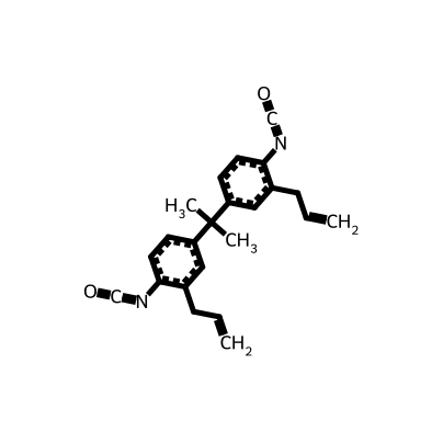 C=CCc1cc(C(C)(C)c2ccc(N=C=O)c(CC=C)c2)ccc1N=C=O